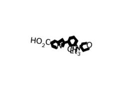 CCN(c1cccc(-c2cc3cc(C(=O)O)ccn3c2)c1C)C1CCOCC1